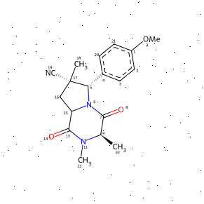 COc1ccc([C@@H]2N3C(=O)[C@@H](C)N(C)C(=O)C3C[C@]2(C)C#N)cc1